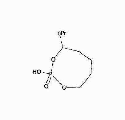 CCCC1CCCCOP(=O)(O)O1